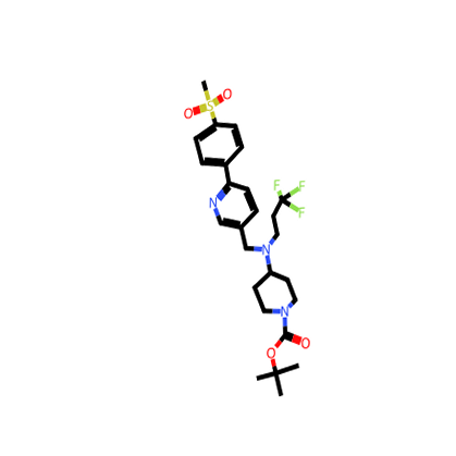 CC(C)(C)OC(=O)N1CCC(N(CCC(F)(F)F)Cc2ccc(-c3ccc(S(C)(=O)=O)cc3)nc2)CC1